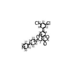 O=C(CN1C(=O)COc2cc(-c3cc(Cl)cc(Cl)c3)cnc21)N1CCN(c2ccncc2)CC1